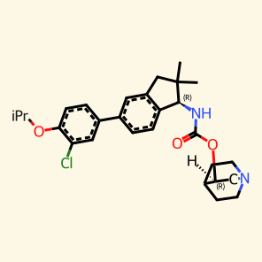 CC(C)Oc1ccc(-c2ccc3c(c2)CC(C)(C)[C@H]3NC(=O)O[C@H]2CN3CCC2CC3)cc1Cl